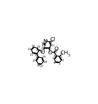 Cc1ccccc1C(=O)Oc1cc(Cl)nnc1Oc1ccccc1-c1ccccc1